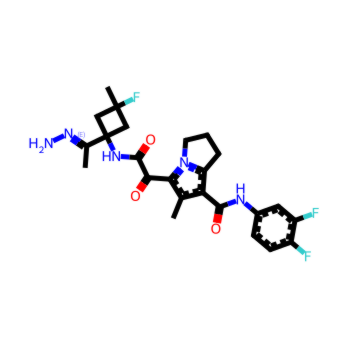 C/C(=N\N)C1(NC(=O)C(=O)c2c(C)c(C(=O)Nc3ccc(F)c(F)c3)c3n2CCC3)CC(C)(F)C1